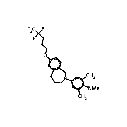 CNc1c(C)cc(N2CCCc3cc(OCCCC(F)(F)C(F)(F)F)ccc3C2)cc1C